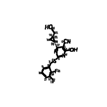 N#Cc1c(O)nc(SCc2cccc(F)c2F)nc1[C@@H]1C[C@H]1CO